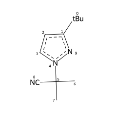 CC(C)(C)c1ccn(C(C)(C)C#N)n1